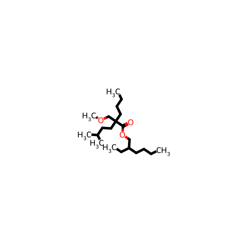 CCCCC(CC)COC(=O)C(CCCC)(CCC(C)C)COC